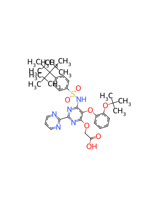 CC(C)(C)Oc1ccccc1Oc1c(NS(=O)(=O)c2ccc(C(C(C)(C)C)(C(C)(C)C)C(C)(C)C)cc2)nc(-c2ncccn2)nc1OCC(=O)O